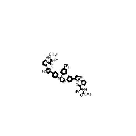 COC(=O)N[C@H](C(=O)N1CCC[C@H]1c1nc(-c2ccc([C@@H]3CC[C@@H](c4ccc(-c5c[nH]c([C@@H]6CCCN6C(=O)[C@@H](NC(=O)O)C(C)C)n5)cc4)N3c3ccc(C(F)(F)F)cc3)cc2)c[nH]1)C(C)C